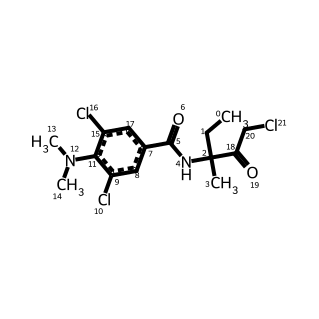 CCC(C)(NC(=O)c1cc(Cl)c(N(C)C)c(Cl)c1)C(=O)CCl